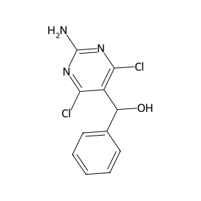 Nc1nc(Cl)c(C(O)c2ccccc2)c(Cl)n1